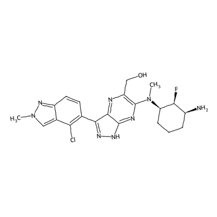 CN(c1nc2[nH]nc(-c3ccc4nn(C)cc4c3Cl)c2nc1CO)[C@@H]1CCC[C@H](N)[C@@H]1F